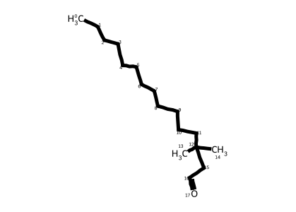 CCCCCCCCCCCCC(C)(C)CC=O